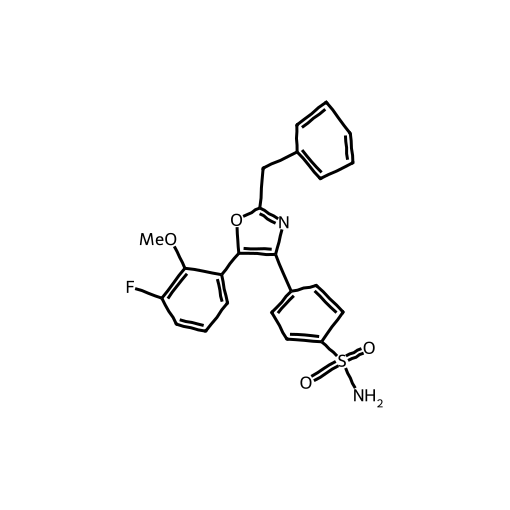 COc1c(F)cccc1-c1oc(Cc2ccccc2)nc1-c1ccc(S(N)(=O)=O)cc1